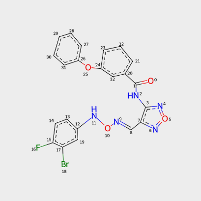 O=C(Nc1nonc1/C=N/ONc1ccc(F)c(Br)c1)c1cccc(Oc2ccccc2)c1